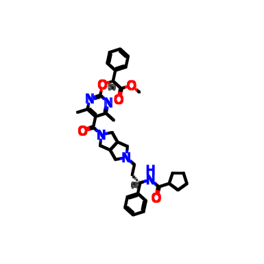 COC(=O)[C@@H](Oc1nc(C)c(C(=O)N2CC3CN(CC[C@H](NC(=O)C4CCCC4)c4ccccc4)CC3C2)c(C)n1)c1ccccc1